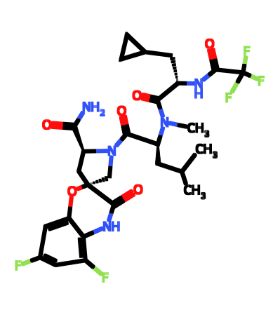 CC(C)C[C@@H](C(=O)N1C[C@@]2(C[C@H]1C(N)=O)Oc1cc(F)cc(F)c1NC2=O)N(C)C(=O)[C@H](CC1CC1)NC(=O)C(F)(F)F